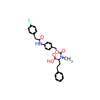 CN(C(=O)OCc1ccc(NC(=O)Cc2ccc(F)cc2)cc1)C(CCc1ccccc1)C(=O)O